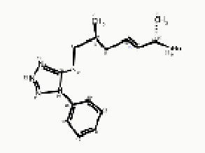 CC[C@H](C)[C@@H](C)/C=C/C[C@H](C)CSc1nnnn1-c1ccccc1